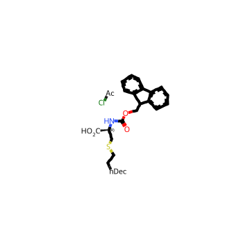 CC(=O)Cl.CCCCCCCCCCCCSC[C@H](NC(=O)OCC1c2ccccc2-c2ccccc21)C(=O)O